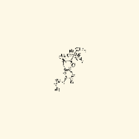 CC/C=N\Cc1cc(CN(CC)C(=O)C(C)(C)C(C)(F)F)ccc1Cl